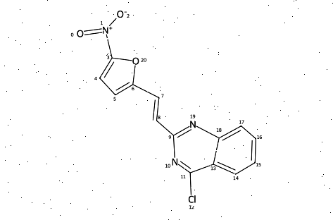 O=[N+]([O-])c1ccc(C=Cc2nc(Cl)c3ccccc3n2)o1